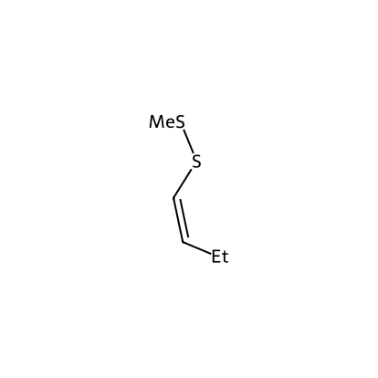 CC/C=C\SSC